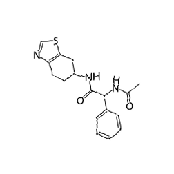 CC(=O)NC(C(=O)NC1CCc2ncsc2C1)c1ccccc1